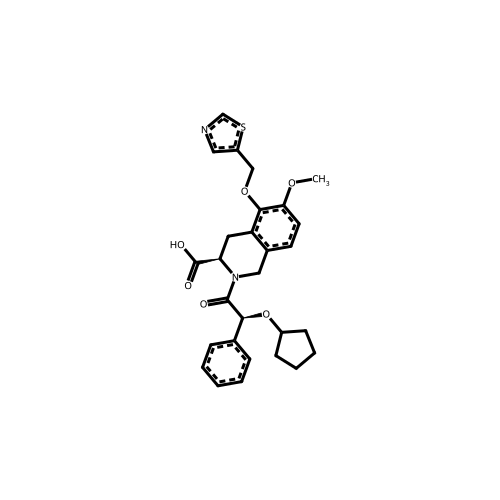 COc1ccc2c(c1OCc1cncs1)C[C@H](C(=O)O)N(C(=O)[C@@H](OC1CCCC1)c1ccccc1)C2